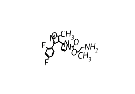 Cc1onc(-c2ccc(F)cc2F)c1-c1ccn(C(=O)OC(C)CN)n1